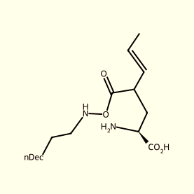 CC=CC(C[C@H](N)C(=O)O)C(=O)ONCCCCCCCCCCCC